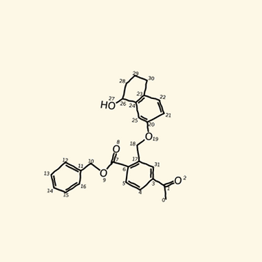 CC(=O)c1ccc(C(=O)OCc2ccccc2)c(COc2ccc3c(c2)C(O)CCC3)c1